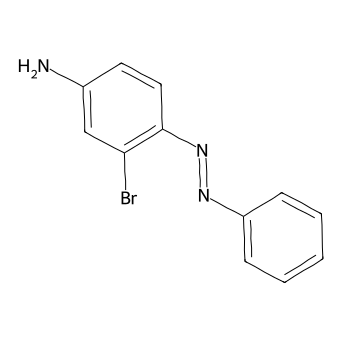 Nc1ccc(N=Nc2ccccc2)c(Br)c1